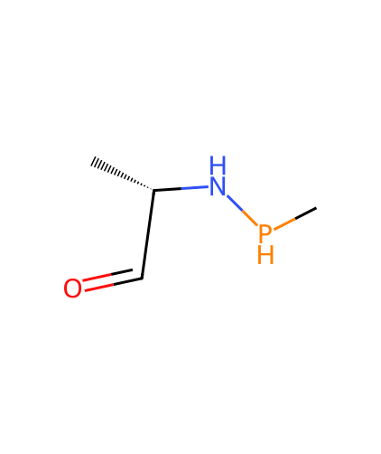 CPN[C@@H](C)C=O